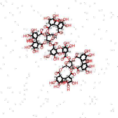 O=C1OC2C(COC(=O)c3cc(O)c(O)c(O)c3[C@H]3C1=CC(O)=C(O)C3O)O[C@@H](OC(=O)c1cc(O)c(O)c(Oc3c(C(=O)OC4O[C@@H]5OC(=O)c6cc(O)c(O)c(O)c6-c6c(cc(O)c(O)c6O)C(=O)OC5[C@H]5OC(=O)c6cc(O)c(O)c(O)c6-c6c(cc(O)c(O)c6O)C(=O)O[C@@H]45)cc(O)c(O)c3O)c1)C1OC(=O)c3cc(O)c(O)c(O)c3-c3c(cc(O)c(O)c3O)C(=O)O[C@@H]21